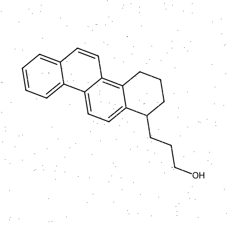 O[CH]CCC1CCCc2c1ccc1c2ccc2ccccc21